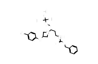 CC(C)(C)OC[C@H](CCNC(=O)OCc1ccccc1)N1CC(Oc2ccc(Cl)cc2)C1